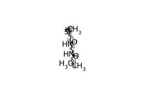 CC(C)CCC(=O)NCCCNC(=O)CCCCS1(C)CS1